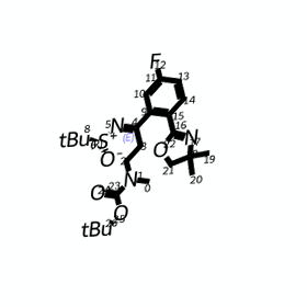 CN(CC/C(=N\[S@@+]([O-])C(C)(C)C)c1cc(F)ccc1C1=NC(C)(C)CO1)C(=O)OC(C)(C)C